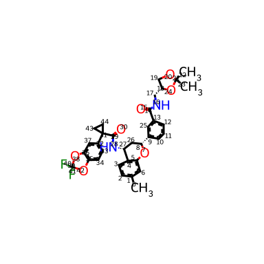 Cc1ccc2c(c1)O[C@@H](c1cccc(C(=O)NC[C@@H]3COC(C)(C)O3)c1)C[C@H]2NC(=O)C1(c2ccc3c(c2)OC(F)(F)O3)CC1